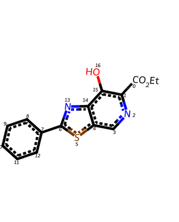 CCOC(=O)c1ncc2sc(-c3ccccc3)nc2c1O